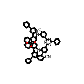 N#Cc1ccccc1-c1ccc(-c2nc(-c3ccccc3)nc(-c3ccc(C(F)(F)F)c(-n4c5ccc(-c6ccccc6)cc5c5cc(-c6ccccc6)ccc54)c3)n2)cc1-n1c2ccc(-c3ccccc3)cc2c2cc(-c3ccccc3)ccc21